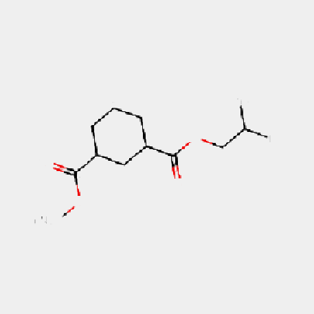 CCCCCCCCCOC(=O)C1CCCC(C(=O)OCC(CC)CCCC)C1